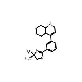 CC1(C)COC(c2cccc(C3=CC[AsH]C4CCCCC34)c2)=N1